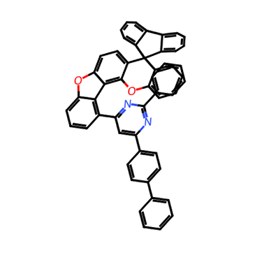 c1ccc(-c2ccc(-c3cc(-c4cccc5oc6ccc7c(c6c45)Oc4ccccc4C74c5ccccc5-c5ccccc54)nc(-c4ccccc4)n3)cc2)cc1